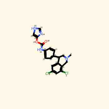 CN1Cc2c(Cl)cc(Cl)cc2C(c2ccc(NC(=O)Oc3c[nH]cn3)cc2)C1